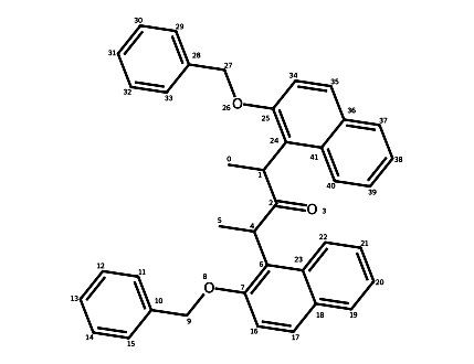 CC(C(=O)C(C)c1c(OCc2ccccc2)ccc2ccccc12)c1c(OCc2ccccc2)ccc2ccccc12